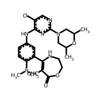 CC1CN(c2ncc(Cl)c(Nc3ccc(N(C)C)c(C4=C(C=O)C(=O)OCCN4)c3)n2)CC(C)O1